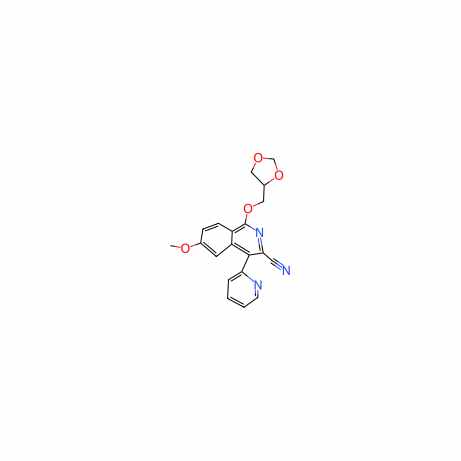 COc1ccc2c(OCC3COCO3)nc(C#N)c(-c3ccccn3)c2c1